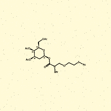 CCCN(COCCSC(C)=O)C(=O)O[C@H]1C[C@@H](OC(C)=O)[C@@H](OC(C)=O)[C@@H](COC(C)=O)O1